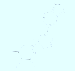 CN1C(=N)N[C@](C)(c2cncc(-c3ccc4nonc4c3)n2)CC1=O